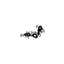 CC(=O)N1C[C@@H]2CN([C@@H]3CCC[C@@H](NC(=O)c4cc5c(F)ccc(C)c5[nH]4)C3)C[C@@H]2C1